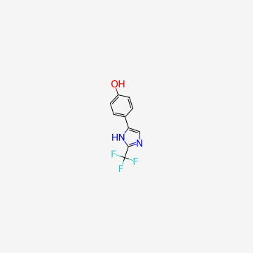 Oc1ccc(-c2cnc(C(F)(F)F)[nH]2)cc1